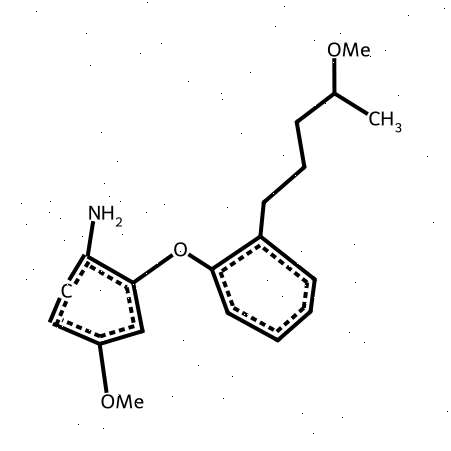 COc1ccc(N)c(Oc2ccccc2CCCC(C)OC)c1